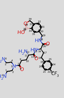 NCCN(CCN)C(=O)CC[C@H](N)C(=O)N[C@H](CCc1ccc(C(F)(F)F)cc1)C(=O)NCc1ccc2c(c1)B(O)OC2